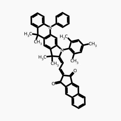 Cc1cc(C)c(N2/C(=C/C=C3C(=O)c4cc5ccccc5cc4C3=O)C(C)(C)c3cc4c(cc32)N(c2ccccc2)c2ccccc2C4(C)C)c(C)c1